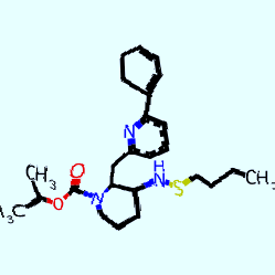 CCCCSNC1CCCN(C(=O)OC(C)C)C1Cc1cccc(C2=CC=CCC2)n1